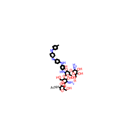 CC(=O)NC1COC(CO)[C@@H](O[C@@H]2OC(CO)[C@@H](O[C@@H]3OC(CO)[C@@H](O[C@@H]4OC(CO)[C@@H](O)[C@H](O)C4N)[C@H](O)C3Nc3ccc(Nc4ccc(N=C5C=CC(=Nc6ccc(C)cc6)C=C5)cc4)cc3)[C@H](O)C2N)[C@@H]1O